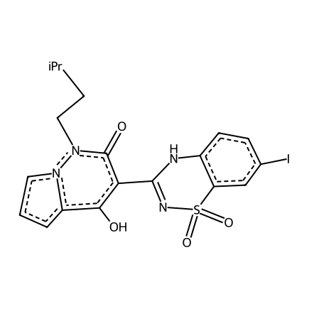 CC(C)CCn1c(=O)c(C2=NS(=O)(=O)c3cc(I)ccc3N2)c(O)c2cccn21